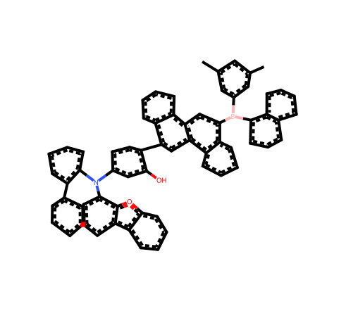 Cc1cc(C)cc(B(c2cccc3ccccc23)c2cc3c4ccccc4c(-c4ccc(N(c5ccccc5-c5ccccc5)c5cccc6c5oc5ccccc56)cc4O)cc3c3ccccc23)c1